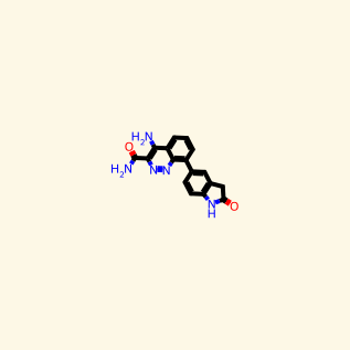 NC(=O)c1nnc2c(-c3ccc4c(c3)CC(=O)N4)cccc2c1N